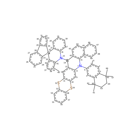 Cc1cc2c(cc1N1c3cc4c(cc3B(N3c5ccccc5[Si]5(c6ccccc6-c6ccccc65)c5cccc(C)c53)c3ccc5ccccc5c31)Sc1ccccc1S4)C(C)(C)CCC2(C)C